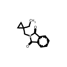 CCC1(CN2C(=O)c3ccccc3C2=O)CC1